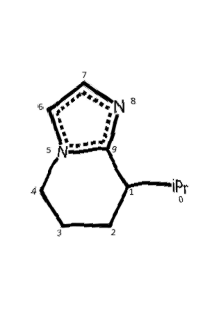 CC(C)C1CCCn2ccnc21